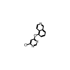 Clc1cc(Oc2cccc3cnccc23)ncn1